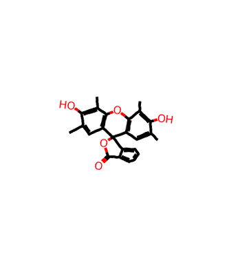 Cc1cc2c(c(C)c1O)Oc1c(cc(C)c(O)c1C)C21OC(=O)c2ccccc21